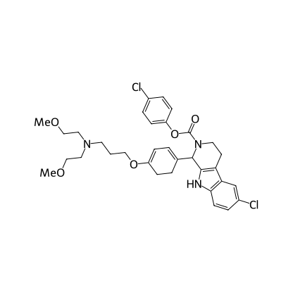 COCCN(CCCOC1=CC=C(C2c3[nH]c4ccc(Cl)cc4c3CCN2C(=O)Oc2ccc(Cl)cc2)CC1)CCOC